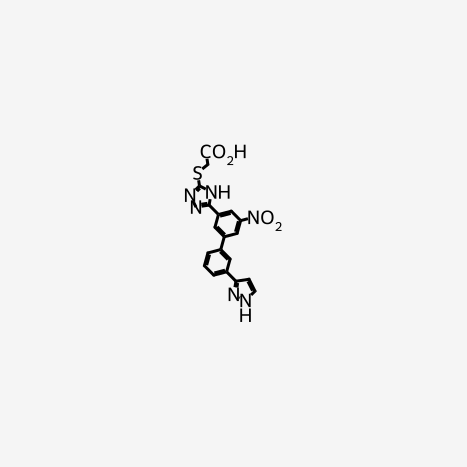 O=C(O)CSc1nnc(-c2cc(-c3cccc(-c4cc[nH]n4)c3)cc([N+](=O)[O-])c2)[nH]1